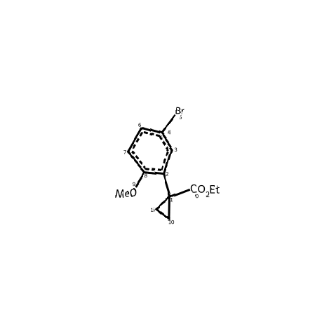 CCOC(=O)C1(c2cc(Br)ccc2OC)CC1